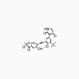 COc1c(C#Cc2ccc(NS(C)(=O)=O)cc2O)cc(-n2c(=O)cc[nH]c2=O)cc1C(C)(C)C